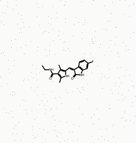 CCNC(=O)c1c(C)[nH]c(/C=C2\C(=O)Nc3cc(F)ccc32)c1C